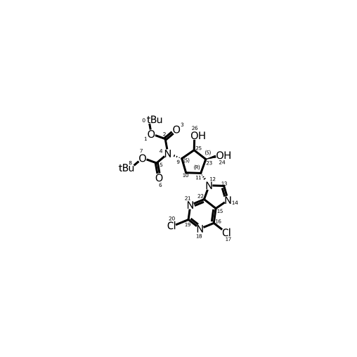 CC(C)(C)OC(=O)N(C(=O)OC(C)(C)C)[C@H]1C[C@@H](n2cnc3c(Cl)nc(Cl)nc32)[C@H](O)C1O